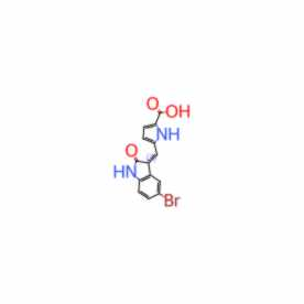 O=C1Nc2ccc(Br)cc2/C1=C/c1ccc(C(=O)O)[nH]1